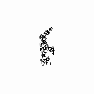 CC(C)c1ccccc1C1CCCN1C1CC2(CCN(c3cc(Oc4cnc5[nH]ccc5c4)c(C(=O)NS(=O)(=O)c4ccc(NCC5(F)CCN(C6COC6)CC5)c([N+](=O)[O-])c4)c(F)c3F)CC2)C1